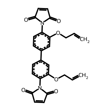 C=CCOc1cc(-c2ccc(N3C(=O)C=CC3=O)c(OCC=C)c2)ccc1N1C(=O)C=CC1=O